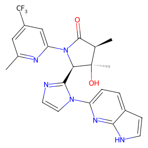 Cc1cc(C(F)(F)F)cc(N2C(=O)[C@@H](C)[C@@](C)(O)[C@H]2c2nccn2-c2ccc3cc[nH]c3n2)n1